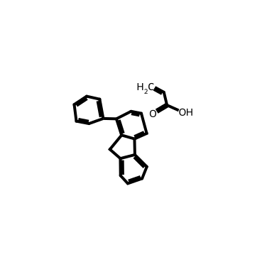 C=CC(=O)O.c1ccc(-c2cccc3c2Cc2ccccc2-3)cc1